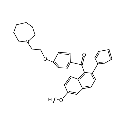 COc1ccc2c(C(=O)c3ccc(OCCN4CCCCCC4)cc3)c(-c3ccccc3)ccc2c1